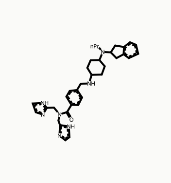 CCCN(C1CCC(NCc2ccc(C(=O)N(Cc3ncc[nH]3)Cc3ncc[nH]3)cc2)CC1)C1Cc2ccccc2C1